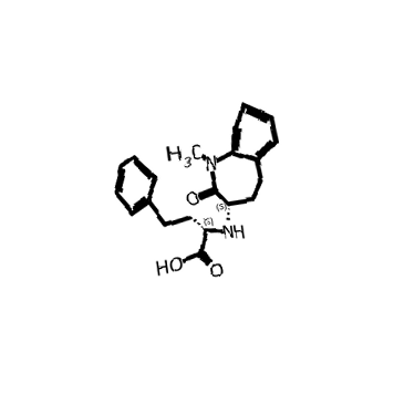 CN1C(=O)[C@@H](N[C@@H](CCc2ccccc2)C(=O)O)CCc2ccccc21